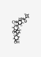 [C-]#[N+]c1cc(NC(=O)C2CCC2)ccc1N1CCC[C@]2(CCN([C@H]3CC[C@H](O)CC3)C2=O)C1